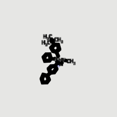 CN/N=C(/c1ccc(-c2ccccc2)cc1)N(Cc1ccc(C(C)(C)C)cc1)c1ccccc1